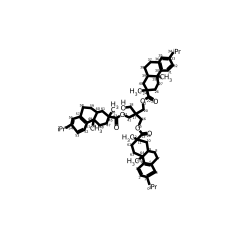 CC(C)c1ccc2c(c1)CCC1CC(C)(C(=O)OCC(CO)(COC(=O)C3(C)CCC4(C)c5ccc(C(C)C)cc5CCC4C3)COC(=O)C3(C)CCC4(C)c5ccc(C(C)C)cc5CCC4C3)CCC21C